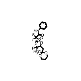 CC1(CC(OS(=O)(=O)C(F)(F)C(=O)Nc2ccccc2)C(F)(F)F)OCCCO1